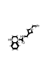 CC(C)CN1CC(CNC(=O)N2CCNc3ccccc32)C1